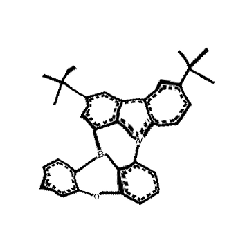 CC(C)(C)c1ccc2c(c1)c1cc(C(C)(C)C)cc3c1n2-c1cccc2c1B3c1ccccc1O2